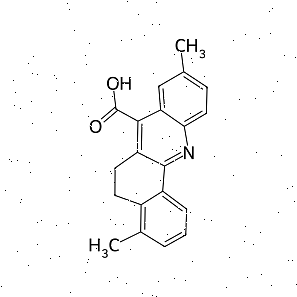 Cc1ccc2nc3c(c(C(=O)O)c2c1)CCc1c(C)cccc1-3